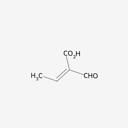 CC=C(C=O)C(=O)O